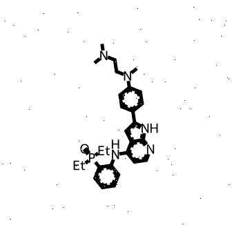 CCP(=O)(CC)c1ccccc1Nc1ccnc2[nH]c(-c3ccc(N(C)CCN(C)C)cc3)cc12